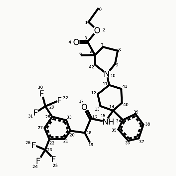 CCOC(=O)C1(C)CCCN(C2CCC(NC(=O)C(C)c3cc(C(F)(F)F)cc(C(F)(F)F)c3)(c3ccccc3)CC2)C1